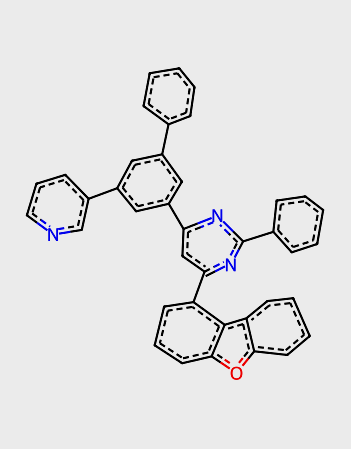 c1ccc(-c2cc(-c3cccnc3)cc(-c3cc(-c4cccc5oc6ccccc6c45)nc(-c4ccccc4)n3)c2)cc1